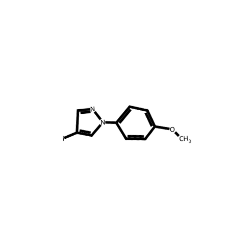 COc1ccc(-n2cc(I)cn2)cc1